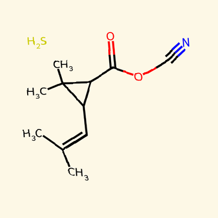 CC(C)=CC1C(C(=O)OC#N)C1(C)C.S